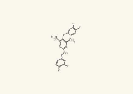 Cc1nc(NCc2ccc(F)c(F)c2)nc(N)c1Cc1ccc(F)c(F)c1